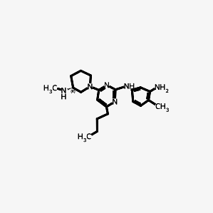 CCCCc1cc(N2CCC[C@@H](NC)C2)nc(Nc2ccc(C)c(N)c2)n1